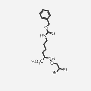 CCC(Br)CON[C@H](CCCCNC(=O)OCc1ccccc1)C(=O)O